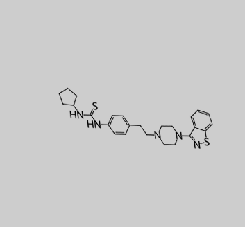 S=C(Nc1ccc(CCN2CCN(c3nsc4ccccc34)CC2)cc1)NC1CCCC1